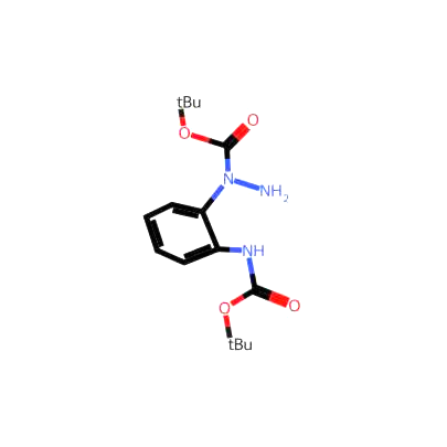 CC(C)(C)OC(=O)Nc1ccccc1N(N)C(=O)OC(C)(C)C